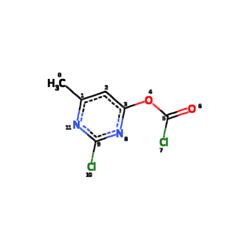 Cc1cc(OC(=O)Cl)nc(Cl)n1